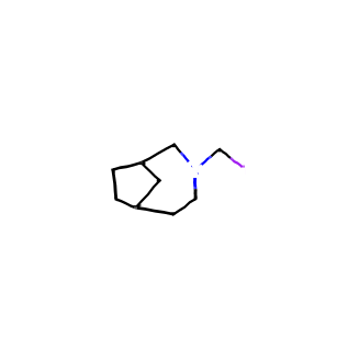 ICN1CCC2CCC(C2)C1